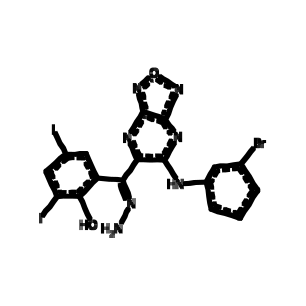 NN=C(c1cc(I)cc(I)c1O)c1nc2nonc2nc1Nc1cccc(Br)c1